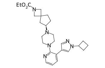 CCOC(=O)N1CC2(CC[C@@H](N3CCN(c4ncccc4-c4cnn(C5CCC5)c4)CC3)C2)C1